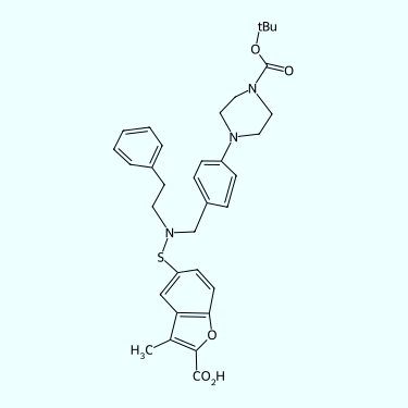 Cc1c(C(=O)O)oc2ccc(SN(CCc3ccccc3)Cc3ccc(N4CCN(C(=O)OC(C)(C)C)CC4)cc3)cc12